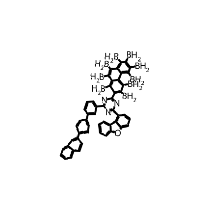 Bc1c(B)c(B)c2c(c1B)c(B)c(B)c1c(B)c(-c3nc(-c4cccc(-c5ccc(-c6ccc7ccccc7c6)cc5)c4)nc(-c4cccc5oc6ccccc6c45)n3)c(B)c(B)c12